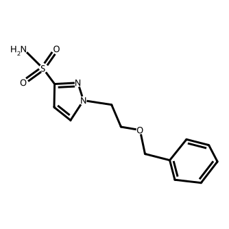 NS(=O)(=O)c1ccn(CCOCc2ccccc2)n1